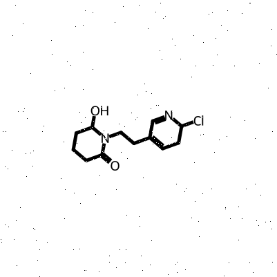 O=C1CCCC(O)N1CCC1=CCC(Cl)N=C1